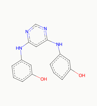 Oc1cccc(Nc2cc(Nc3cccc(O)c3)ncn2)c1